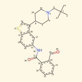 CC(C)(C)CN1CCC(c2csc3ccc(NC(=O)c4ccccc4C=O)cc23)CC1